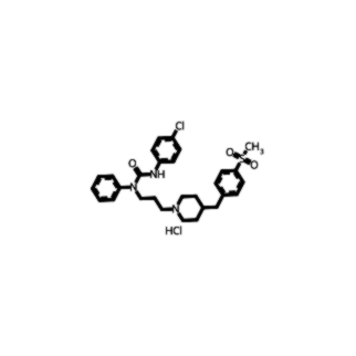 CS(=O)(=O)c1ccc(CC2CCN(CCCN(C(=O)Nc3ccc(Cl)cc3)c3ccccc3)CC2)cc1.Cl